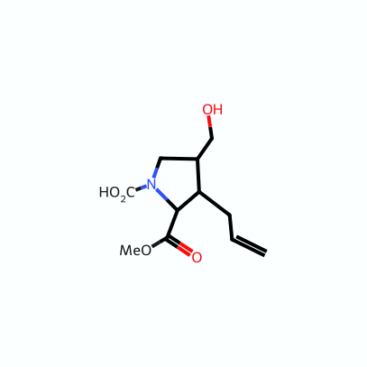 C=CCC1C(CO)CN(C(=O)O)C1C(=O)OC